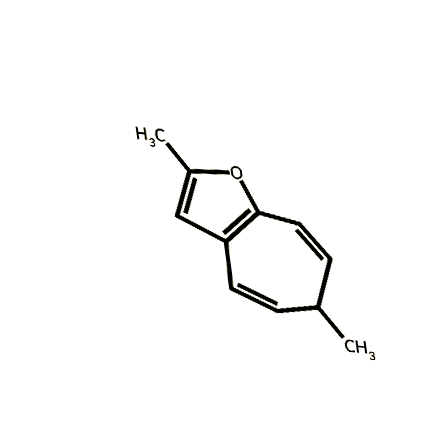 Cc1cc2c(o1)C=CC(C)C=C2